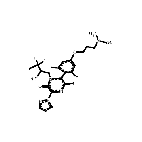 CC(Cn1c(-c2c(F)cc(OCCCN(C)C)cc2F)c(Cl)nc(-n2cccn2)c1=O)C(F)(F)F